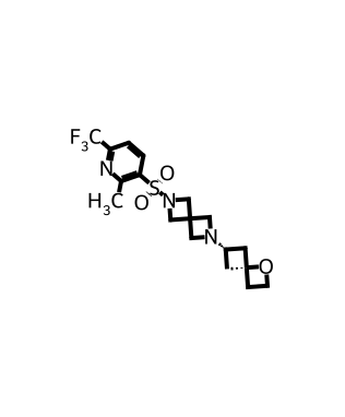 Cc1nc(C(F)(F)F)ccc1S(=O)(=O)N1CC2(C1)CN([C@H]1C[C@]3(CCO3)C1)C2